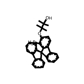 Bc1c(OC(C)(C)C(C)(C)O)ccc2c1C1(c3ccccc3-c3ccccc31)c1ccccc1-2